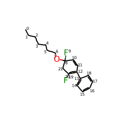 CCCCCCCOC1(F)C=CC(c2ccccc2)=C(F)C1